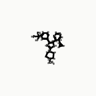 CN1CCN(c2nc(-c3cccc(C(F)(F)F)c3)c(-c3n[c]ncc3C3CC3)s2)CC1